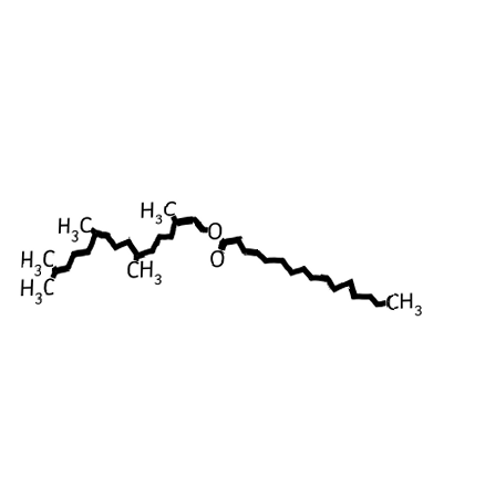 CCCCCCCCCCCCCCCC(=O)OCC=C(C)CCCC(C)CCCC(C)CCCC(C)C